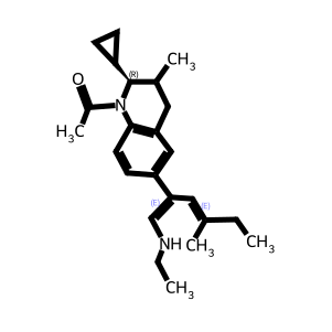 CCN/C=C(\C=C(/C)CC)c1ccc2c(c1)CC(C)[C@H](C1CC1)N2C(C)=O